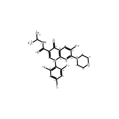 O=C(NC(C(F)(F)F)C(F)(F)F)c1cn(-c2c(F)cc(F)cc2F)c2nc(N3CCOCC3)c(F)cc2c1=O